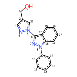 OCc1cnn(-c2nn(-c3ccccc3)c3ccccc23)c1